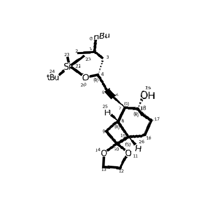 CCCCC(C)C[C@H](C#C[C@@H]1[C@H]2CC3(OCCO3)[C@H]2CC[C@H]1O)O[Si](C)(C)C(C)(C)C